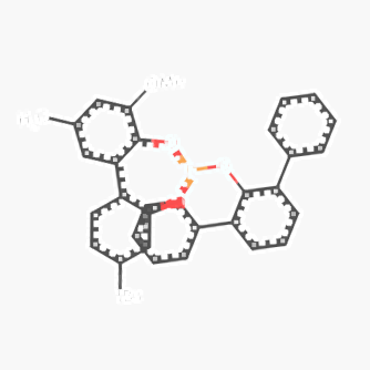 COc1cc(C)cc2c1op(Oc1c(-c3ccccc3)cccc1-c1ccccc1)oc1cc(C(C)(C)C)ccc12